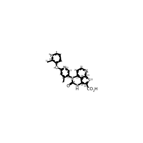 Cc1cc(Oc2cccnc2C)ncc1N1C(=O)Nc2c(C(=O)O)sc3nccc1c23